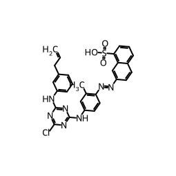 C=CCc1cccc(Nc2nc(Cl)nc(Nc3ccc(N=Nc4ccc5cccc(S(=O)(=O)O)c5c4)c(C)c3)n2)c1